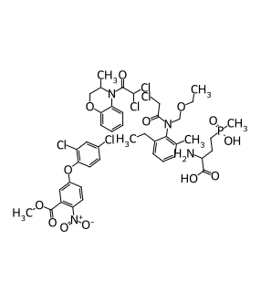 CC1COc2ccccc2N1C(=O)C(Cl)Cl.CCOCN(C(=O)CCl)c1c(C)cccc1CC.COC(=O)c1cc(Oc2ccc(Cl)cc2Cl)ccc1[N+](=O)[O-].CP(=O)(O)CCC(N)C(=O)O